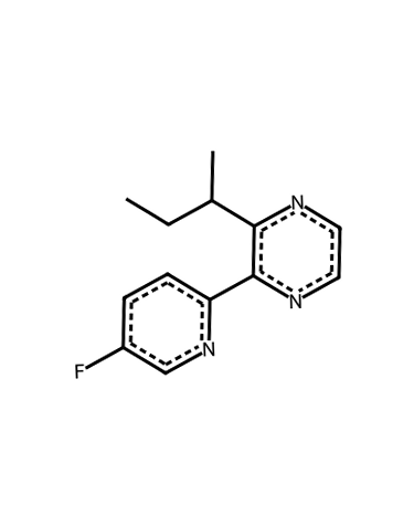 CCC(C)c1nccnc1-c1ccc(F)cn1